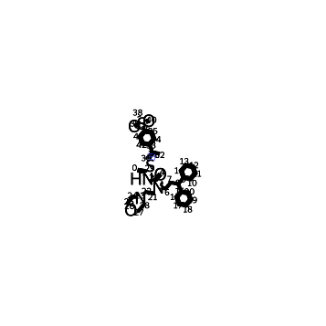 C=C(NC(=O)N(CCC(c1ccccc1)c1ccccc1)CCN1CCOCC1)S/C=C(\C)c1ccc(S(C)(=O)=O)cc1